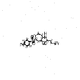 CC(C)C[CH]C(=O)NC1CCCN(S(=O)(=O)c2ccc(F)cc2)CC1=O